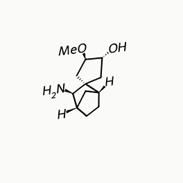 CO[C@@H]1C[C@]2(C[C@H]1O)[C@@H]1CC[C@@H](C1)[C@H]2N